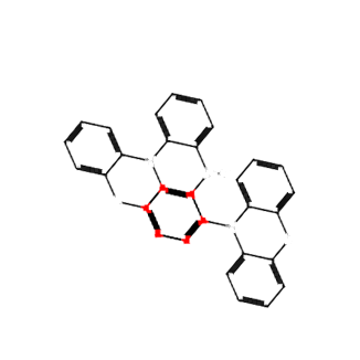 [O-][S+](c1ccccc1N1c2ccccc2Sc2ccccc21)c1ccccc1N1c2ccccc2Sc2ccccc21